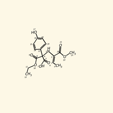 CC=C(NC(C(=O)O)(C(=O)OCC)c1ccc(O)cc1)C(=O)OC